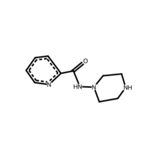 O=C(NN1CCNCC1)c1ccccn1